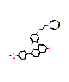 CS(=O)(=O)c1ccc(-c2ccc3cc(O)ccc3c2Oc2ccc(OCCN3C=CC=CC=C3)cc2)cc1